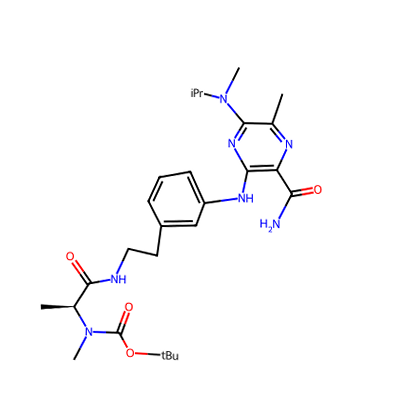 Cc1nc(C(N)=O)c(Nc2cccc(CCNC(=O)[C@H](C)N(C)C(=O)OC(C)(C)C)c2)nc1N(C)C(C)C